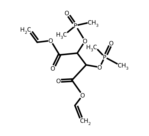 C=COC(=O)C(OP(C)(C)=O)C(OP(C)(C)=O)C(=O)OC=C